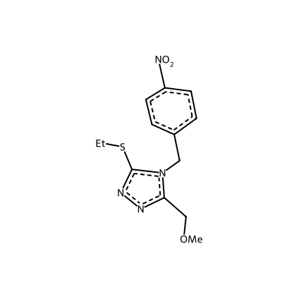 CCSc1nnc(COC)n1Cc1ccc([N+](=O)[O-])cc1